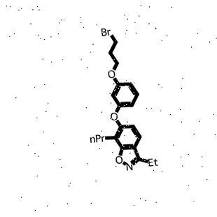 CCCc1c(Oc2cccc(OCCCBr)c2)ccc2c(CC)noc12